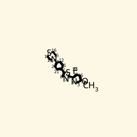 COc1cnc(-c2ncc(-c3ccc(N4CCSCC4)cc3)s2)c(F)c1